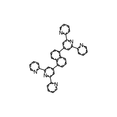 c1ccc(-c2cc(-c3cccc4c(-c5cc(-c6ccccn6)nc(-c6ccccn6)c5)cccc34)cc(-c3ccccn3)n2)nc1